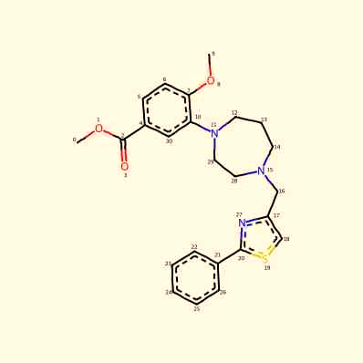 COC(=O)c1ccc(OC)c(N2CCCN(Cc3csc(-c4ccccc4)n3)CC2)c1